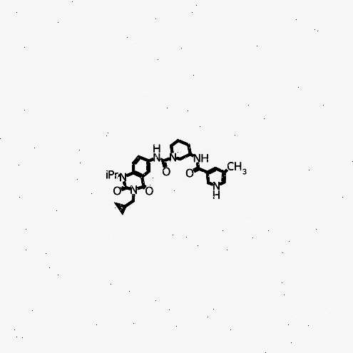 CC1=CNCC(C(=O)NC2CCCN(C(=O)Nc3ccc4c(c3)c(=O)n(CC3CC3)c(=O)n4C(C)C)C2)=C1